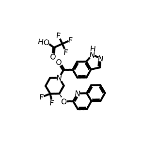 O=C(O)C(F)(F)F.O=C(c1ccc2cn[nH]c2c1)N1CCC(F)(F)[C@@H](Oc2ccc3ccccc3n2)C1